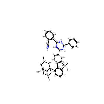 C[C@@H]1C[C@@H]2C[C@H](C)CC(c3cccc4c3-c3ccc(-c5nc(-c6ccccc6)nc(-c6ccccc6C#N)n5)cc3C4(C)C)(C1)C2